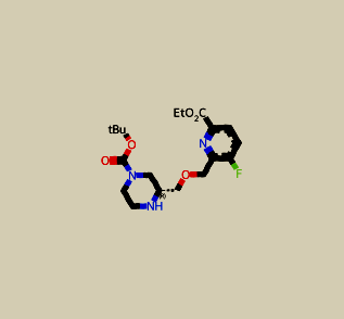 CCOC(=O)c1ccc(F)c(COC[C@H]2CN(C(=O)OC(C)(C)C)CCN2)n1